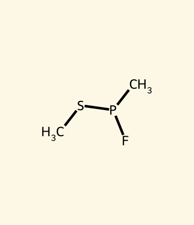 CSP(C)F